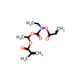 C=CC(=O)ON(CC)C(=O)OC(C)OC(=O)C(=C)C